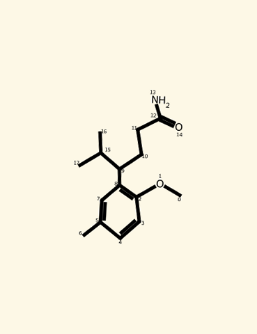 COc1ccc(C)cc1C(CCC(N)=O)C(C)C